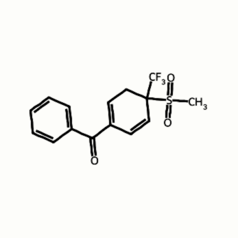 CS(=O)(=O)C1(C(F)(F)F)C=CC(C(=O)c2ccccc2)=CC1